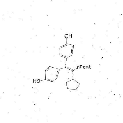 CCCCCC(=C(c1ccc(O)cc1)c1ccc(O)cc1)C1CCCC1